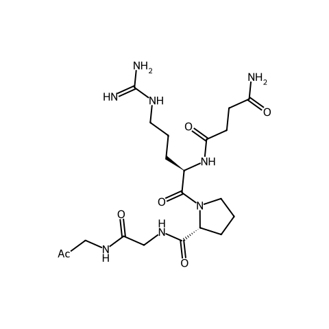 CC(=O)CNC(=O)CNC(=O)[C@H]1CCCN1C(=O)[C@@H](CCCNC(=N)N)NC(=O)CCC(N)=O